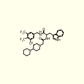 O=C(CN1CCC(N2CCCCC2)CC1)NC(Cc1c[nH]c2ccccc12)C(=O)NCc1cc(C(F)(F)F)c(C(F)(F)F)c(C(F)(F)F)c1